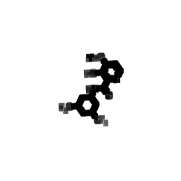 COc1ccnc(C(=O)NC2CC(C(F)(F)F)CC(C(F)(F)F)C2)c1O